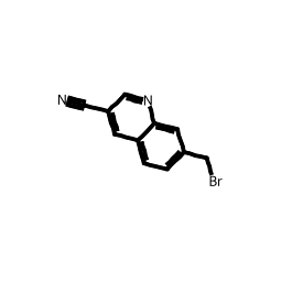 N#Cc1cnc2cc(CBr)ccc2c1